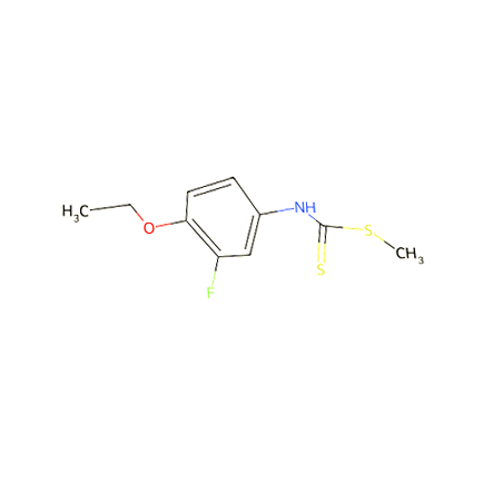 CCOc1ccc(NC(=S)SC)cc1F